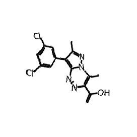 C=C(O)c1nnc2c(-c3cc(Cl)cc(Cl)c3)c(C)nn2c1C